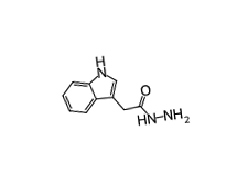 NNC(=O)Cc1c[nH]c2ccccc12